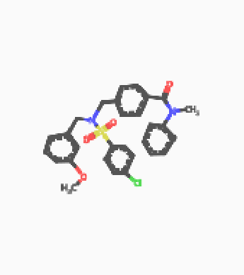 COc1cccc(CN(Cc2ccc(C(=O)N(C)c3ccccc3)cc2)S(=O)(=O)c2ccc(Cl)cc2)c1